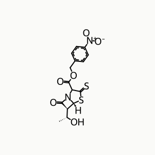 C[C@@H](O)[C@H]1C(=O)N2C(C(=O)OCc3ccc([N+](=O)[O-])cc3)C(=S)S[C@H]12